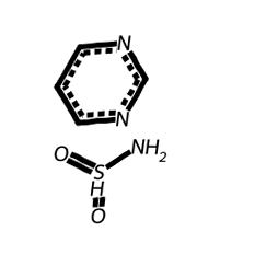 N[SH](=O)=O.c1cncnc1